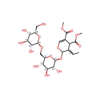 C/C=C1/C(O[C@@H]2O[C@H](CO[C@@H]3O[C@H](CO)[C@@H](O)[C@H](O)[C@H]3O)[C@@H](O)[C@H](O)[C@H]2O)OC=C(C(=O)OC)C1C(=O)OC